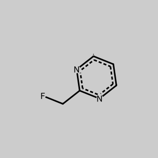 FCc1n[c]ccn1